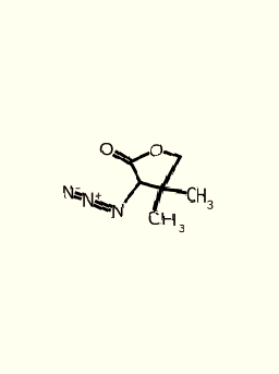 CC1(C)COC(=O)C1N=[N+]=[N-]